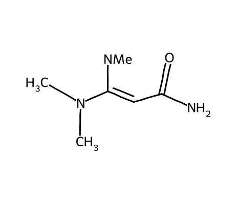 CN/C(=C\C(N)=O)N(C)C